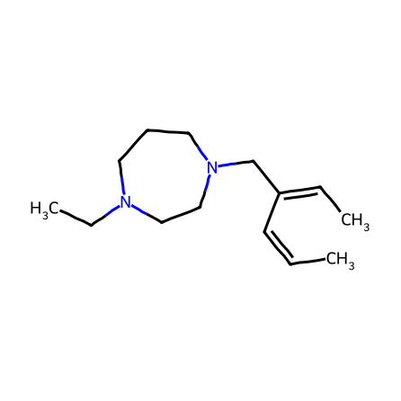 C/C=C\C(=C/C)CN1CCCN(CC)CC1